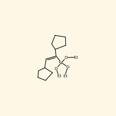 CCO[Si](OCC)(OCC)C(=CC1CCCC1)C1CCCC1